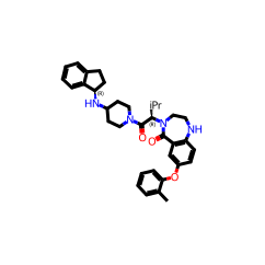 Cc1ccccc1Oc1ccc2c(c1)C(=O)N([C@@H](C(=O)N1CCC(N[C@@H]3CCc4ccccc43)CC1)C(C)C)CCN2